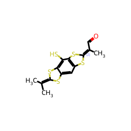 CC(C)=C1Sc2cc3c(c(S)c2S1)S/C(=C(/C)C=O)S3